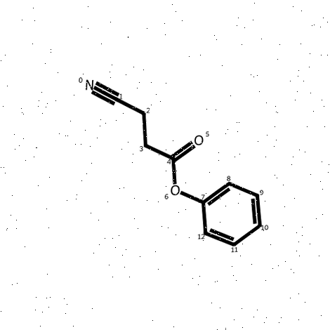 N#CCCC(=O)Oc1ccccc1